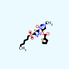 CCCCCCS(=O)(=O)c1nnc([N+]2([O-])CN(C)CC2OC(=O)c2cccs2)s1